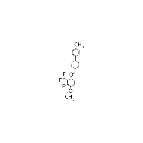 CCOC1=C(F)C(C(F)F)C(OCC2C=CC(c3ccc(C)cc3)CC2)C=C1